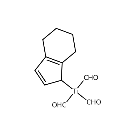 O=[CH][Ti]([CH]=O)([CH]=O)[CH]1C=CC2=C1CCCC2